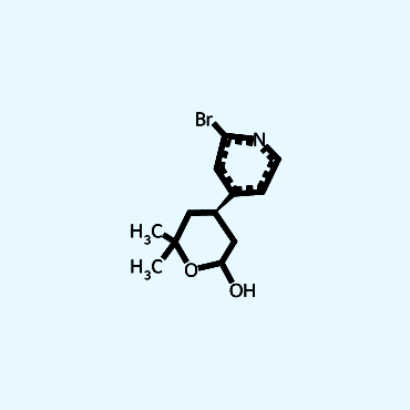 CC1(C)C[C@@H](c2ccnc(Br)c2)CC(O)O1